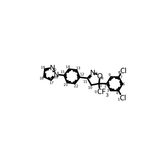 FC(F)(F)C1(c2cc(Cl)cc(Cl)c2)CC(c2ccc(-n3cccn3)cc2)=NO1